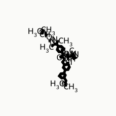 Cc1nn(COCC[Si](C)(C)C)c(C)c1-c1ccc(NC(=O)C(Cc2cc(-c3cccc(CN(C)C)c3)ccc2Cl)NC(=O)c2ccnn2C)cc1